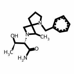 CC1N([C@H](C(N)=O)[C@@H](C)O)CC12CCCN2Cc1ccccc1